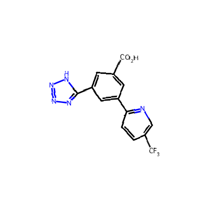 O=C(O)c1cc(-c2ccc(C(F)(F)F)cn2)cc(-c2nnn[nH]2)c1